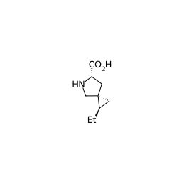 CC[C@@H]1C[C@@]12CN[C@H](C(=O)O)C2